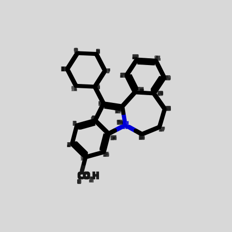 O=C(O)c1ccc2c(C3CCCCC3)c3n(c2c1)CCCc1ccccc1-3